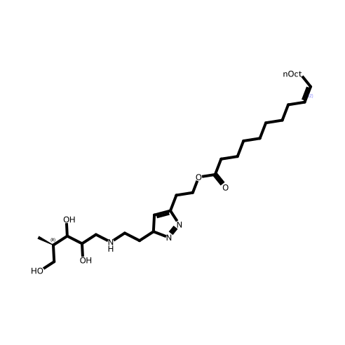 CCCCCCCC/C=C\CCCCCCCC(=O)OCCC1=CC(CCNCC(O)C(O)[C@H](C)CO)N=N1